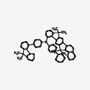 CC1(C)c2ccccc2-c2c(-c3ccc(N(c4ccc(-c5ccccc5)cc4)c4cccc5c4-c4cc6c(cc4C5(C)C)-c4ccc5ccccc5c4C6(C)C)cc3)cccc21